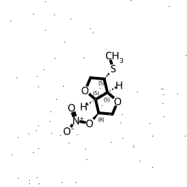 CS[C@H]1CO[C@H]2[C@@H]1OC[C@H]2O[N+](=O)[O-]